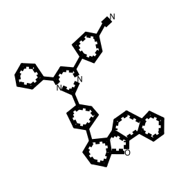 N#Cc1ccc(-c2cc(-c3ccccc3)nc(-c3ccc(-c4cccc5oc6c7ccccc7ccc6c45)cc3)n2)cc1